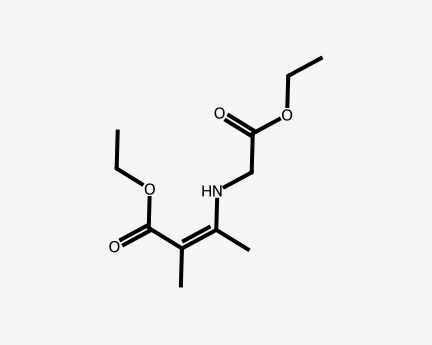 CCOC(=O)CN/C(C)=C(/C)C(=O)OCC